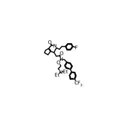 CCN(CC)CCON(Cc1ccc(-c2ccc(C(F)(F)F)cc2)cc1)C(=O)CC1C(CCc2ccc(F)cc2)=NC(=O)C2=C1CCC2